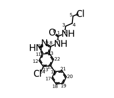 O=C(NCCCCl)Nc1n[nH]c2cc(Cl)c(-c3ccccc3)cc12